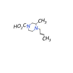 CC=CCN1CCN(C(=O)O)CC1C